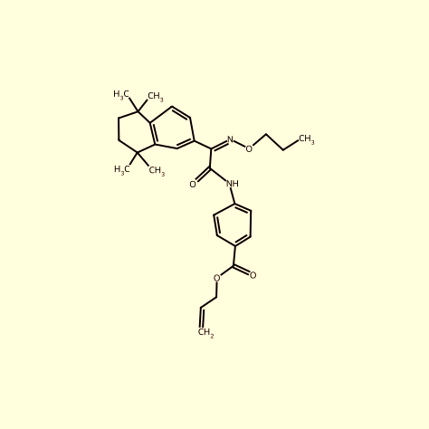 C=CCOC(=O)c1ccc(NC(=O)C(=NOCCC)c2ccc3c(c2)C(C)(C)CCC3(C)C)cc1